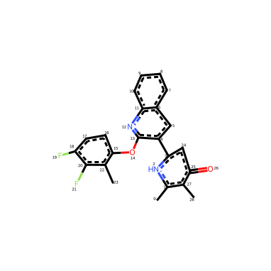 Cc1[nH]c(-c2cc3ccccc3nc2Oc2ccc(F)c(F)c2C)cc(=O)c1C